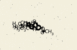 CC(=O)OC1CC[C@@]2(C)C(=CC(=O)[C@@H]3[C@H]2CC[C@]2(C)C(O[Si](C)(C)C(C)(C)C)CC[C@@H]32)C1